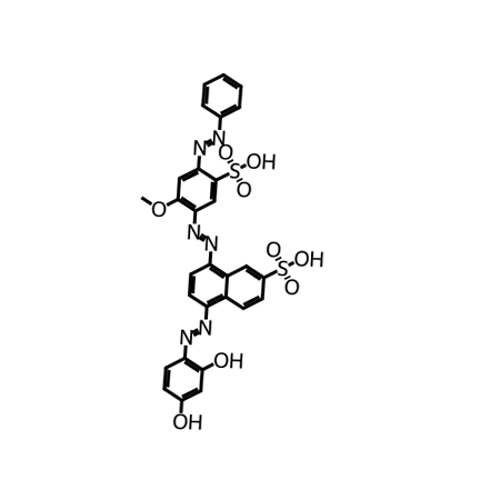 COc1cc(N=Nc2ccccc2)c(S(=O)(=O)O)cc1N=Nc1ccc(N=Nc2ccc(O)cc2O)c2ccc(S(=O)(=O)O)cc12